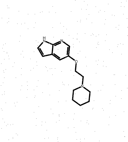 c1cc2cc(OCCN3CCCCC3)cnc2[nH]1